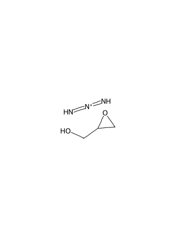 N=[N+]=N.OCC1CO1